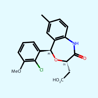 COc1cccc([C@@H]2O[C@@H](CC(=O)O)C(=O)Nc3ccc(C)cc32)c1Cl